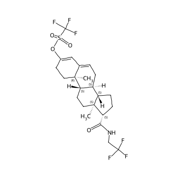 C[C@]12CC[C@H]3[C@@H](CC=C4C=C(OS(=O)(=O)C(F)(F)F)CC[C@@]43C)[C@@H]1CC[C@@H]2C(=O)NCC(F)(F)F